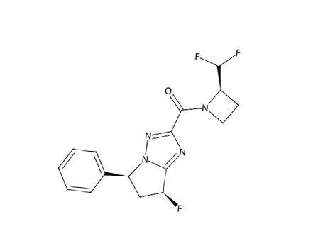 O=C(c1nc2n(n1)[C@H](c1ccccc1)C[C@@H]2F)N1CC[C@@H]1C(F)F